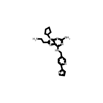 NCCc1nc2c(NCc3ccc(-c4cccs4)nc3)nc(N)nc2n1C1CCCC1